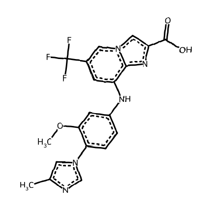 COc1cc(Nc2cc(C(F)(F)F)cn3cc(C(=O)O)nc23)ccc1-n1cnc(C)c1